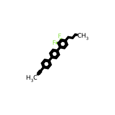 CC#Cc1ccc(-c2ccc(-c3ccc(CCCC)c(F)c3F)cc2)cc1